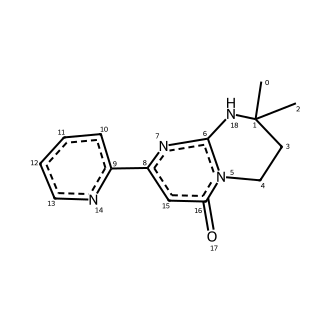 CC1(C)CCn2c(nc(-c3ccccn3)cc2=O)N1